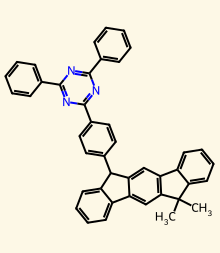 CC1(C)c2ccccc2-c2cc3c(cc21)-c1ccccc1C3c1ccc(-c2nc(-c3ccccc3)nc(-c3ccccc3)n2)cc1